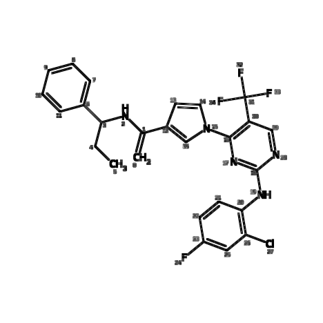 C=C(NC(CC)c1ccccc1)c1ccn(-c2nc(Nc3ccc(F)cc3Cl)ncc2C(F)(F)F)c1